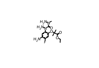 CCOC(=O)C(C)(C)Oc1cc(F)c(N)cc1N(N)C(=O)N(C)N